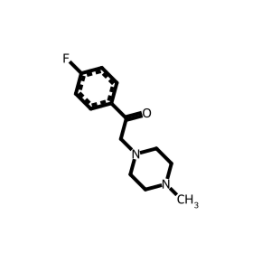 CN1CCN(CC(=O)c2ccc(F)cc2)CC1